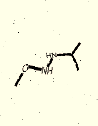 CONNC(C)C